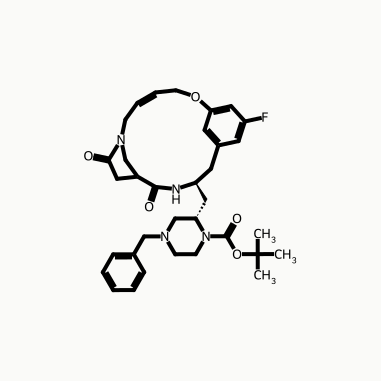 CC(C)(C)OC(=O)N1CCN(Cc2ccccc2)C[C@@H]1C[C@@H]1Cc2cc(F)cc(c2)OCC=CCN2CC(CC2=O)C(=O)N1